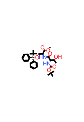 COC(=O)C(CO[Si](c1ccccc1)(c1ccccc1)C(C)(C)C)NC(=O)C(NC(=O)OC(C)(C)C)C(C)O